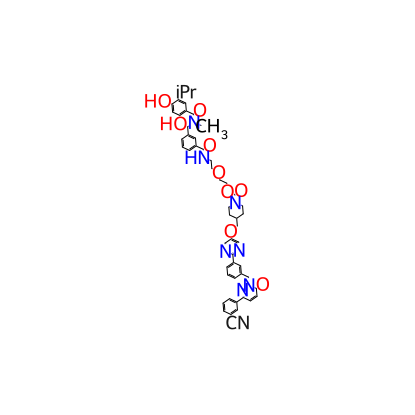 CC(C)c1cc(C(=O)N(C)Cc2cccc(C(=O)NCCOCCOC(=O)N3CCC(COc4cnc(-c5cccc(Cn6nc(-c7cccc(C#N)c7)ccc6=O)c5)nc4)CC3)c2)c(O)cc1O